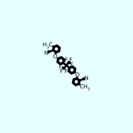 Cc1cccc(Oc2ccc(C(c3ccc(Oc4cccc(C)c4C#N)cc3)(C(F)(F)F)C(F)(F)F)cc2)c1C#N